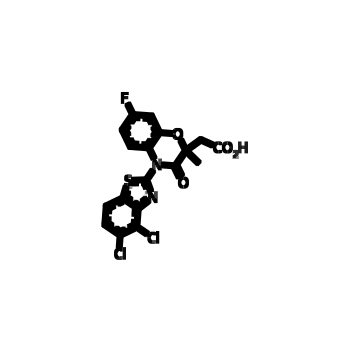 CC1(CC(=O)O)Oc2cc(F)ccc2N(c2nc3c(Cl)c(Cl)ccc3s2)C1=O